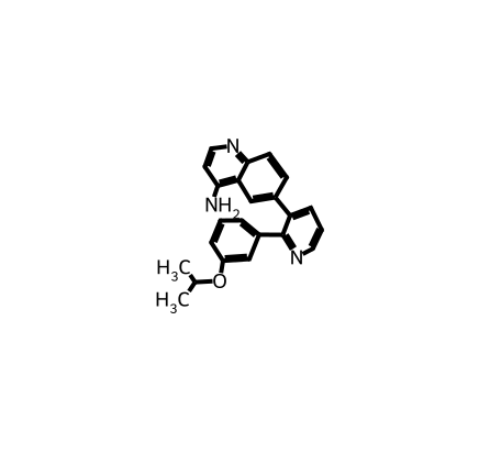 CC(C)Oc1cccc(-c2ncccc2-c2ccc3nccc(N)c3c2)c1